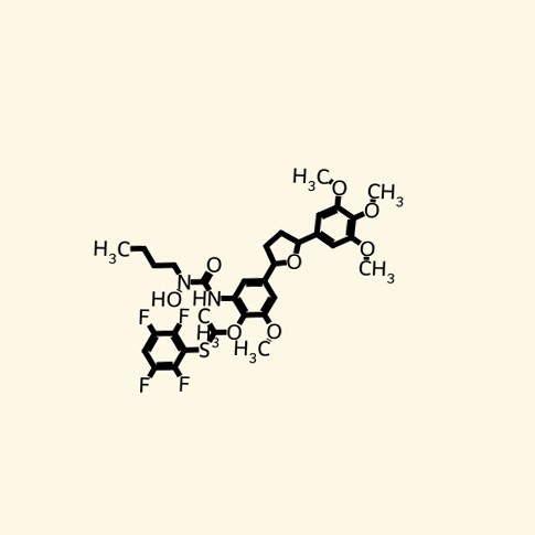 CCCCN(O)C(=O)Nc1cc(C2CCC(c3cc(OC)c(OC)c(OC)c3)O2)cc(OC)c1OC(C)Sc1c(F)c(F)cc(F)c1F